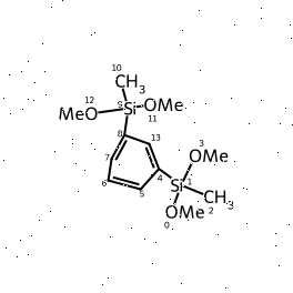 CO[Si](C)(OC)c1cccc([Si](C)(OC)OC)c1